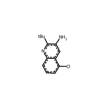 CC(C)(C)c1nc2cccc(Cl)c2cc1N